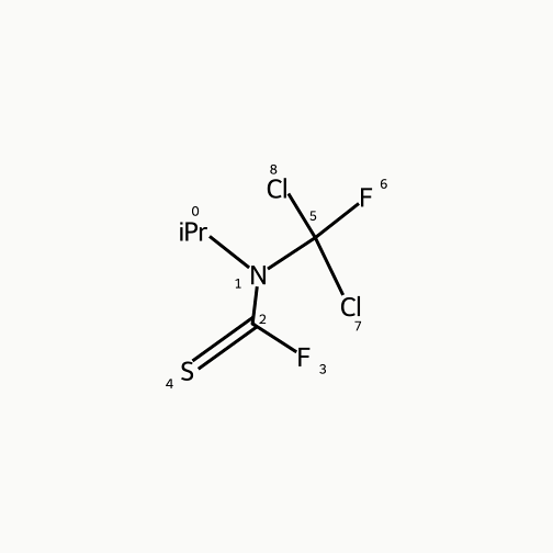 CC(C)N(C(F)=S)C(F)(Cl)Cl